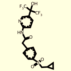 O=C(Cc1ccc(S(=O)(=O)CC2CC2)cc1)Nc1ccc(C(O)(C(F)(F)F)C(F)(F)F)cn1